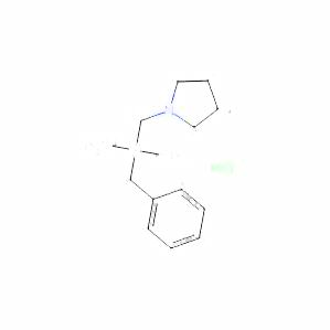 C[Si](C)(Cc1ccccc1)CN1CCCC1.Cl